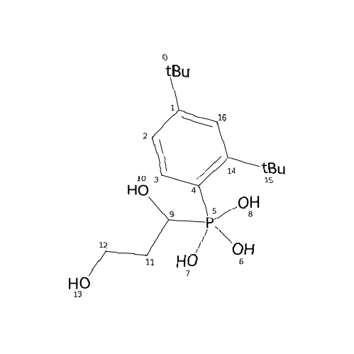 CC(C)(C)c1ccc(P(O)(O)(O)C(O)CCO)c(C(C)(C)C)c1